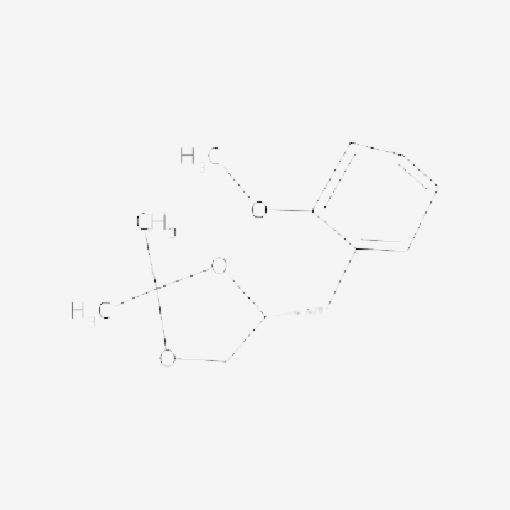 COc1ccccc1C[C@@H]1COC(C)(C)O1